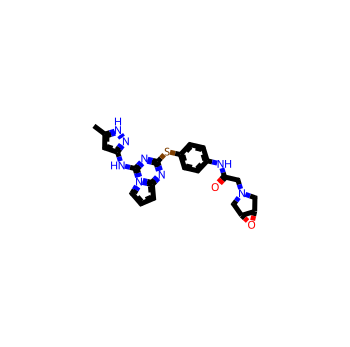 Cc1cc(Nc2nc(Sc3ccc(NC(=O)CN4CC5OC5C4)cc3)nc3cccn23)n[nH]1